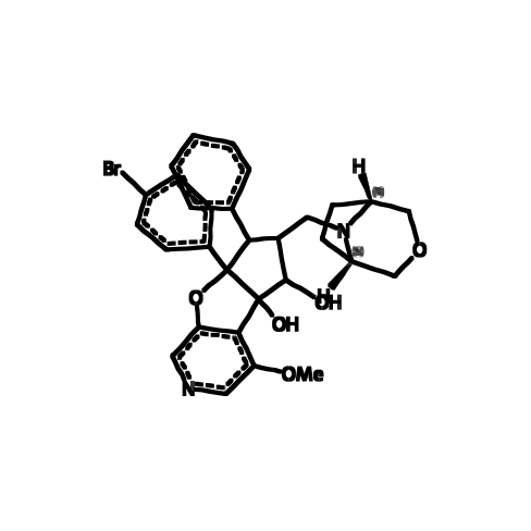 COc1cncc2c1C1(O)C(O)C(CN3[C@@H]4CC[C@H]3COC4)C(c3ccccc3)C1(c1ccc(Br)cc1)O2